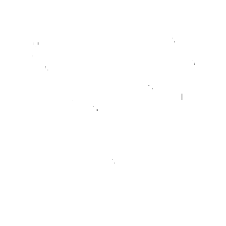 CC(C)n1cnc2cc(-c3ccc4c(c3)N([C@H]3C[C@@H](N5CCC(C)(C)C5)C3)C(=O)C43CCN(C(=O)OC(C)(C)C)CC3)nc(Cl)c21